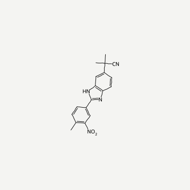 Cc1ccc(-c2nc3ccc(C(C)(C)C#N)cc3[nH]2)cc1[N+](=O)[O-]